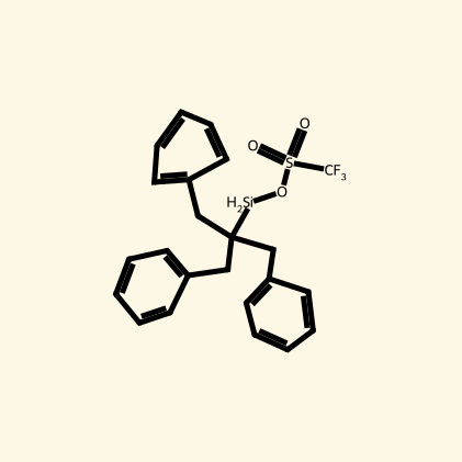 O=S(=O)(O[SiH2]C(Cc1ccccc1)(Cc1ccccc1)Cc1ccccc1)C(F)(F)F